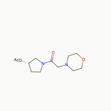 CC(=O)O[C@H]1CCN(C(=O)CN2CCOCC2)C1